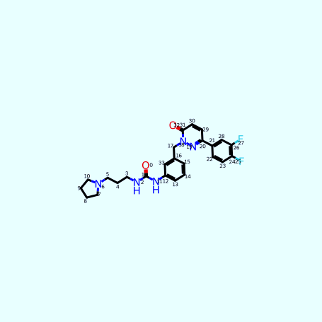 O=C(NCCCN1CCCC1)Nc1cccc(Cn2nc(-c3ccc(F)c(F)c3)ccc2=O)c1